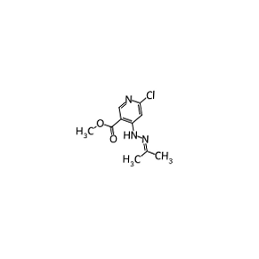 COC(=O)c1cnc(Cl)cc1NN=C(C)C